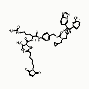 Cc1cccc(-c2nc(CN(CC3CC3)C(=O)OCc3ccc(NC(=O)C(CCCNC(N)=O)NC(=O)[C@@H](NC(=O)CCCCCN4C(=O)C=CC4=O)C(C)C)cc3)[nH]c2-c2ccc3ncnn3c2)n1